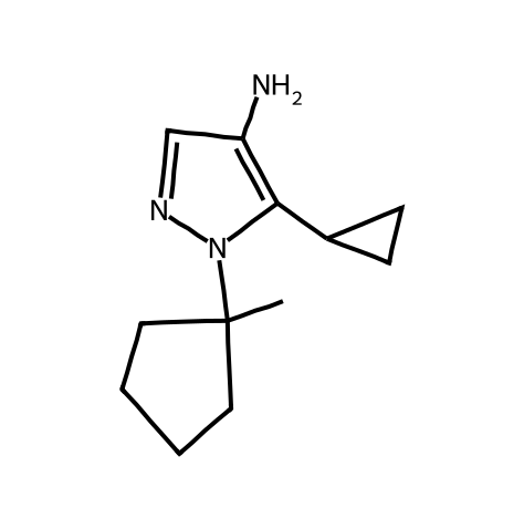 CC1(n2ncc(N)c2C2CC2)CCCC1